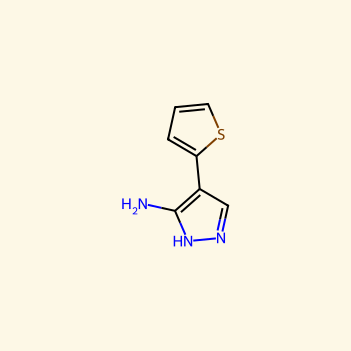 Nc1[nH]ncc1-c1cccs1